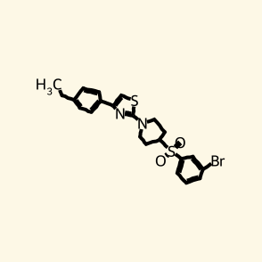 CCc1ccc(-c2csc(N3CCC(S(=O)(=O)c4cccc(Br)c4)CC3)n2)cc1